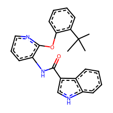 CC(C)(C)c1ccccc1Oc1ncccc1NC(=O)c1c[nH]c2ccccc12